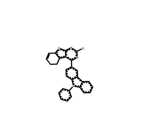 Clc1nc(-c2ccc3c(c2)c2ccccc2n3-c2ccccc2)c2c3c(oc2n1)C=CCC3